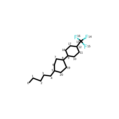 CCCCCC1CCC(C2CCC(C(F)(F)F)CC2)CC1